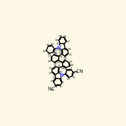 N#Cc1ccc(-n2c3ccc(C#N)cc3c3cccc(-c4ccccc4-c4ccccc4-c4cccc5c4N(C4=CCCC=C4)C4C=CC=CC54)c32)cc1